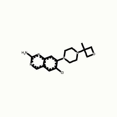 CC1(N2CCN(c3cc4nc(N)ncc4cc3Cl)CC2)COC1